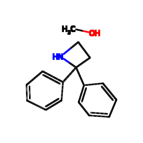 CO.c1ccc(C2(c3ccccc3)CCN2)cc1